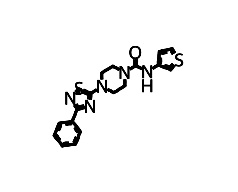 O=C(Nc1ccsc1)N1CCN(c2nc(-c3ccccc3)ns2)CC1